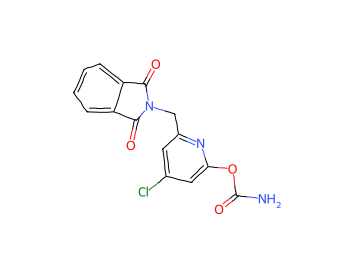 NC(=O)Oc1cc(Cl)cc(CN2C(=O)c3ccccc3C2=O)n1